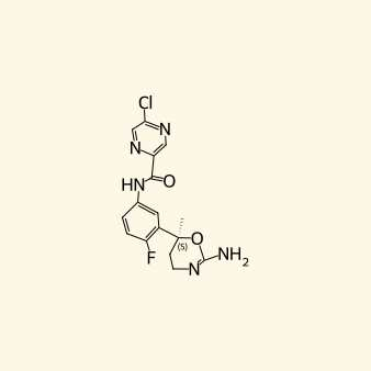 C[C@@]1(c2cc(NC(=O)c3cnc(Cl)cn3)ccc2F)CCN=C(N)O1